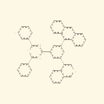 c1ccc(-c2nc(-c3ccccc3)nc(-c3cc(-c4cncc5ccccc45)cc(-c4c5ccccc5cc5ccccc45)c3)n2)cc1